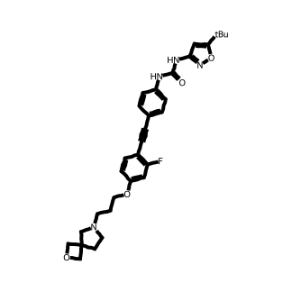 CC(C)(C)c1cc(NC(=O)Nc2ccc(C#Cc3ccc(OCCCN4CCC5(COC5)C4)cc3F)cc2)no1